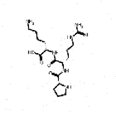 N=C(N)NCCC[C@H](NC(=O)[C@@H]1CCCN1)C(=O)N[C@@H](CCCCN)C(=O)O